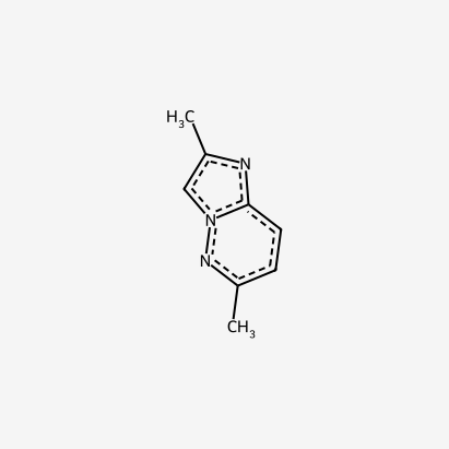 Cc1cn2nc(C)ccc2n1